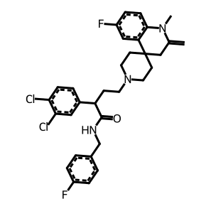 C=C1CC2(CCN(CCC(C(=O)NCc3ccc(F)cc3)c3ccc(Cl)c(Cl)c3)CC2)c2cc(F)ccc2N1C